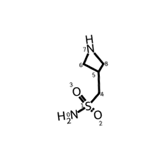 NS(=O)(=O)CC1CNC1